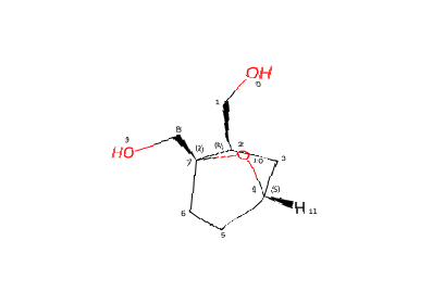 OC[C@H]1C[C@@H]2CC[C@@]1(CO)O2